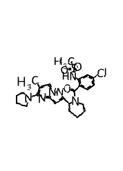 Cc1cn2nc(C3CCCCN3C(=O)c3ccc(Cl)cc3NS(C)(=O)=O)cc2nc1N1CCCC1